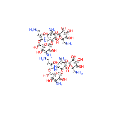 NCC[C@H](O)C(=O)N[C@@H]1C[C@H](N)[C@@H](O[C@H]2O[C@H](CN)[C@@H](O)[C@H](O)[C@H]2O)[C@H](O)[C@H]1O[C@H]1O[C@H](CO)[C@@H](O)[C@H](N)[C@H]1O.NCC[C@H](O)C(=O)N[C@@H]1C[C@H](N)[C@@H](O[C@H]2O[C@H](CN)[C@@H](O)[C@H](O)[C@H]2O)[C@H](O)[C@H]1O[C@H]1O[C@H](CO)[C@@H](O)[C@H](N)[C@H]1O